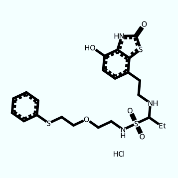 CCC(NCCc1ccc(O)c2[nH]c(=O)sc12)S(=O)(=O)NCCOCCSc1ccccc1.Cl